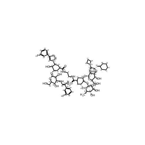 CC[C@@H]1CC(C(=O)NCCNC(=O)C2CC(n3cc(-c4cccc(F)c4)nn3)C(O)[C@H](O[C@@H]3OC(CO)[C@H](O)C(N/C=C(\N)c4cccc(F)c4)C3O)C2)C[C@@H](O[C@@H]2OC(CO)[C@H](O)C(O[C@@H](CC3CCCCC3)C(=O)N3CCC3)C2NC(C)=O)C1O[C@@H]1OC(C)[C@@H](O)C(O)C1O